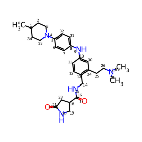 CC1CCN(c2ccc(Nc3ccc(CNC(=O)C4CNC(=O)C4)c(CCN(C)C)c3)cc2)CC1